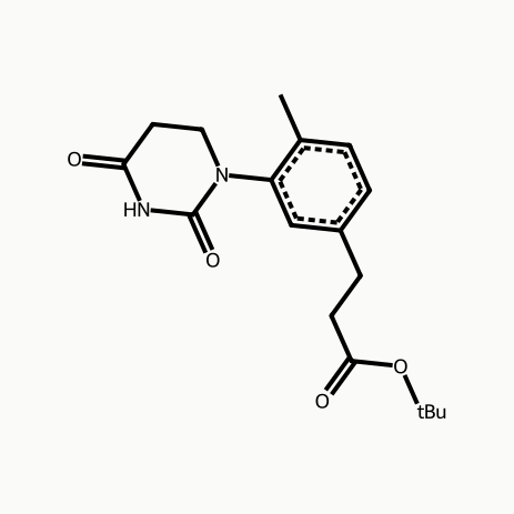 Cc1ccc(CCC(=O)OC(C)(C)C)cc1N1CCC(=O)NC1=O